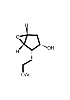 CC(=O)OCC[C@@H]1[C@@H]2O[C@@H]2C[C@@H]1O